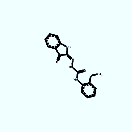 COc1ccccc1NC(=S)NN=C1Nc2ccccc2C1=O